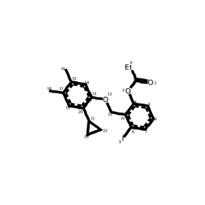 CCC(=O)Oc1cccc(I)c1COc1cc(C)c(C)cc1C1CC1